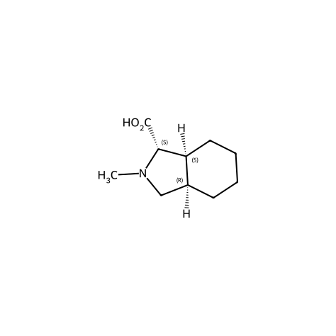 CN1C[C@@H]2CCCC[C@@H]2[C@H]1C(=O)O